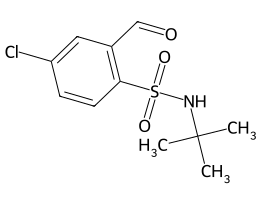 CC(C)(C)NS(=O)(=O)c1ccc(Cl)cc1C=O